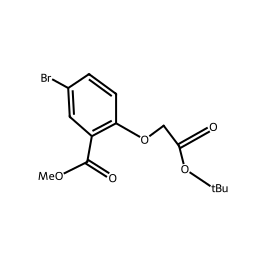 COC(=O)c1cc(Br)ccc1OCC(=O)OC(C)(C)C